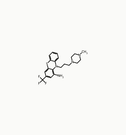 CN1CCN(CCCN2c3ccccc3Sc3cc(C(F)(F)F)cc(N)c32)CC1